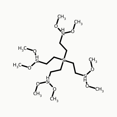 CO[SiH](CC[Si](CC[SiH](OC)OC)(CC[SiH](OC)OC)CC[SiH](OC)OC)OC